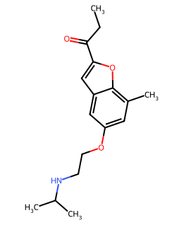 CCC(=O)c1cc2cc(OCCNC(C)C)cc(C)c2o1